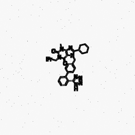 CC(C)Cn1c(=O)c2c(nc(C3CCCCC3)n2Cc2ccc(-c3ccccc3-c3nnn[nH]3)cc2)n(C)c1=O